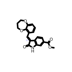 COC(=O)c1ccc2c(c1)NC(=O)/C2=C/c1cccc2c1OCCCO2